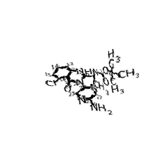 CC(NC(=O)OC(C)(C)C)c1nc2cccc(Cl)c2c(=O)n1-c1cnc(N)cn1